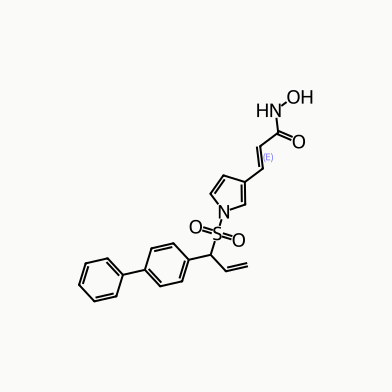 C=CC(c1ccc(-c2ccccc2)cc1)S(=O)(=O)n1ccc(/C=C/C(=O)NO)c1